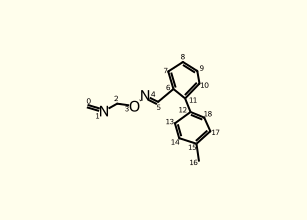 C=NCO/N=C/c1ccccc1-c1ccc(C)cc1